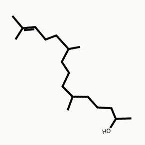 CC(C)=CCCC(C)CCCC(C)CCCC(C)O